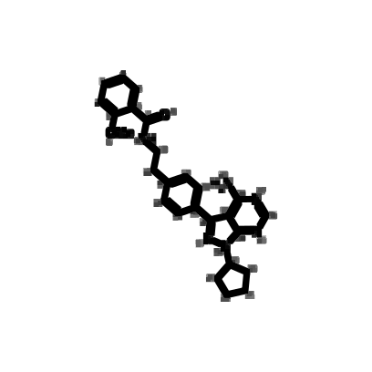 COc1ccccc1C(=O)NCCc1ccc(-c2nn(C3CCCC3)c3ncnc(N)c23)cc1